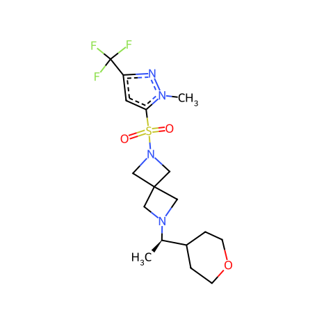 C[C@H](C1CCOCC1)N1CC2(C1)CN(S(=O)(=O)c1cc(C(F)(F)F)nn1C)C2